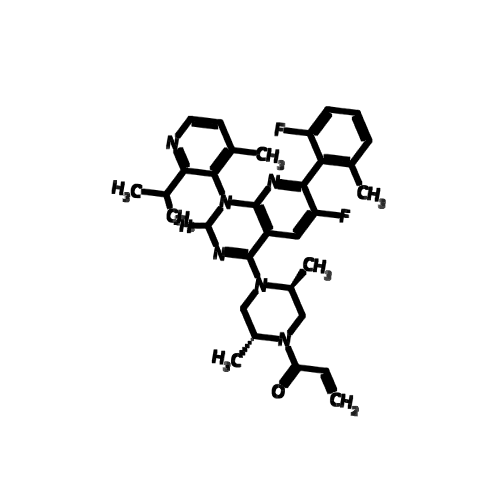 [2H]C1N=C(N2C[C@@H](C)N(C(=O)C=C)C[C@@H]2C)c2cc(F)c(-c3c(C)cccc3F)nc2N1c1c(C)ccnc1C(C)C